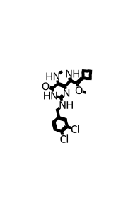 CNc1c(C(=N)C(OC)=C2CCC2)nc(NCc2ccc(Cl)c(Cl)c2)[nH]c1=O